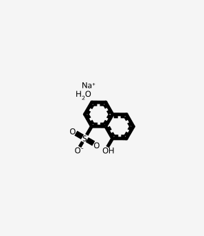 O.O=S(=O)([O-])c1cccc2cccc(O)c12.[Na+]